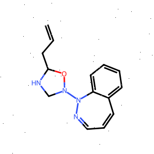 C=CCC1NCN(N2N=CC=Cc3ccccc32)O1